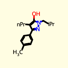 CCCc1c(-c2ccc(C)cc2)nn(CC(C)C)c1O